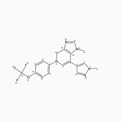 Cn1cc(C2=CN(c3ccc(OC(F)(F)F)cc3)Cc3ncn(C)c32)cn1